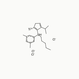 CCCCC[SiH](C1=[C]([Ti+3])CC=C1C(C)C)c1cc(C)cc(C)c1.[Cl-].[Cl-].[Cl-]